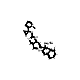 Cn1cccc1C1(Oc2ncc3cnc(C4(OC=O)C=Cc5cccc(F)c5C4)cc3n2)CC1